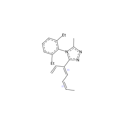 C=C/C(=C\C=C/C)c1nnc(C)n1-c1c(CC)cccc1CC